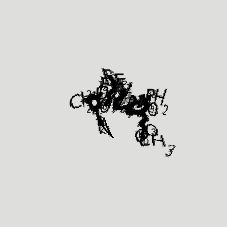 COC(=O)/C=C/c1cc(Cn2cnc(C(F)(F)F)c(Oc3cc(Cl)cc(C#N)c3)c2=O)nn(P)c1=O